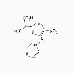 CC(C(=O)O)c1ccc([N+](=O)[O-])c(Oc2ccccc2)c1